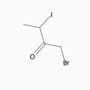 CC(I)C(=O)CBr